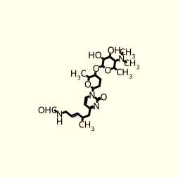 CC(/C=C/CNC=O)Cc1ccn(C2CCC(OC3OC(C)C(N(C)C)C(O)C3O)C(C)O2)c(=O)n1